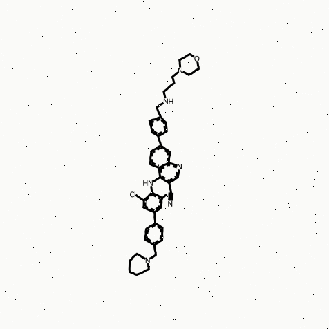 Cc1cc(-c2ccc(CN3CCCCC3)cc2)cc(Cl)c1Nc1c(C#N)cnc2cc(-c3ccc(CNCCCN4CCOCC4)cc3)ccc12